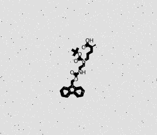 C[C@@H](CCCN(CCNC(=O)OCC1c2ccccc2-c2ccccc21)C(=O)OC(C)(C)C)C(=O)O